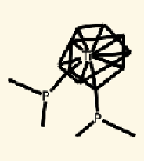 CP(C)[C]12[CH]3[CH]4[CH]5[C]1(P(C)C)[Ti]43521678[CH]2[CH]1[CH]6[CH]7[CH]28